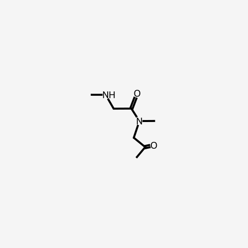 CNCC(=O)N(C)CC(C)=O